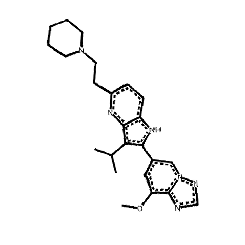 COc1cc(-c2[nH]c3ccc(CCN4CCCCC4)nc3c2C(C)C)cn2ncnc12